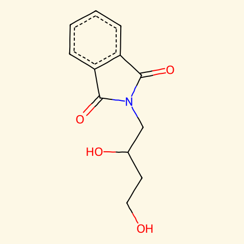 O=C1c2ccccc2C(=O)N1CC(O)CCO